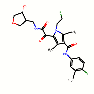 Cc1cc(NC(=O)c2c(C)c(C(=O)C(=O)NCC3COC[C@@H]3O)n(CCF)c2C)ccc1F